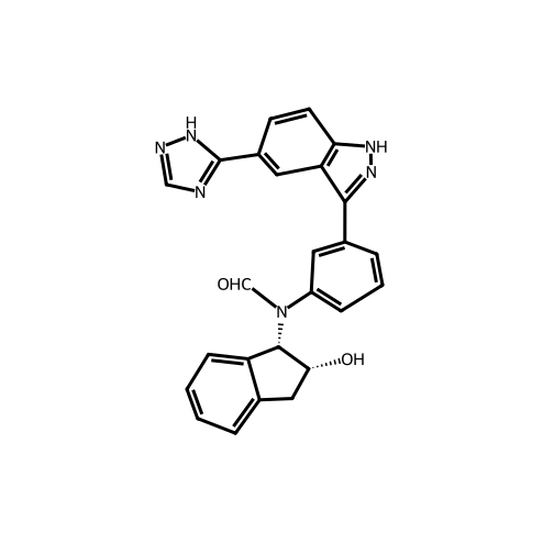 O=CN(c1cccc(-c2n[nH]c3ccc(-c4ncn[nH]4)cc23)c1)[C@H]1c2ccccc2C[C@H]1O